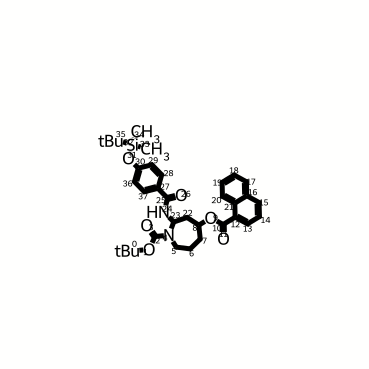 CC(C)(C)OC(=O)N1CCCC(OC(=O)c2cccc3ccccc23)CC1NC(=O)c1ccc(O[Si](C)(C)C(C)(C)C)cc1